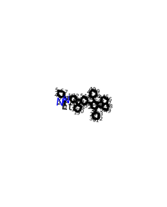 CCc1nc2ccccc2n1-c1ccc2c(c1)C1(CCCCC1)c1cc(-c3cc(-c4ccccc4)c4c(c3-c3ccccc3)-c3cccc5cccc-4c35)ccc1-2